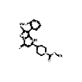 COc1ccccc1-c1c(C)nn2c(=O)cc(C3CCN(C(=O)OC(C)(C)C)CC3)[nH]c12